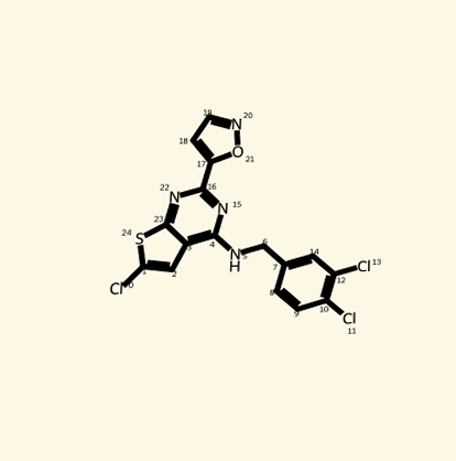 Clc1cc2c(NCc3ccc(Cl)c(Cl)c3)nc(-c3ccno3)nc2s1